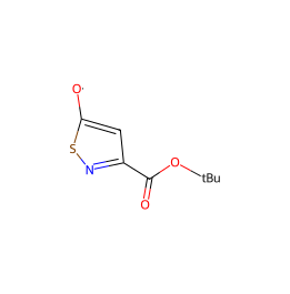 CC(C)(C)OC(=O)c1cc([O])sn1